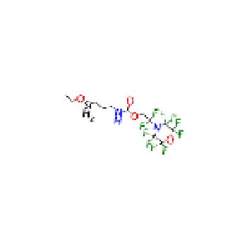 CCO[SiH2]CCCNC(=O)OCC(F)(F)N1C(F)(F)C(F)(F)OC(F)(F)C1(F)F